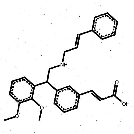 COc1cccc(C(CNCC=Cc2ccccc2)c2cccc(C=CC(=O)O)c2)c1OC